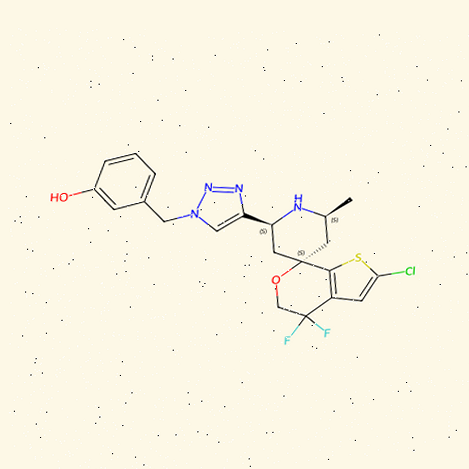 C[C@H]1C[C@@]2(C[C@@H](c3cn(Cc4cccc(O)c4)nn3)N1)OCC(F)(F)c1cc(Cl)sc12